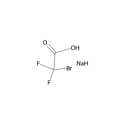 O=C(O)C(F)(F)Br.[NaH]